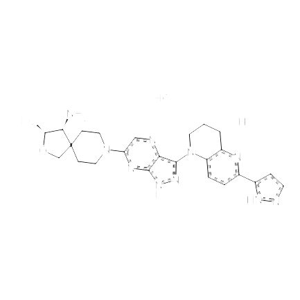 C[C@@H]1OCC2(CCN(c3cnc4c(N5CC[C@H](C)c6nc(-c7ccn[nH]7)ccc65)n[nH]c4n3)CC2)[C@@H]1N.Cl